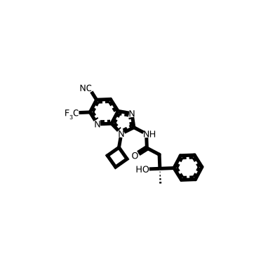 C[C@](O)(CC(=O)Nc1nc2cc(C#N)c(C(F)(F)F)nc2n1C1CCC1)c1ccccc1